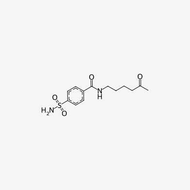 CC(=O)CCCCNC(=O)c1ccc(S(N)(=O)=O)cc1